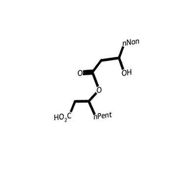 CCCCCCCCCC(O)CC(=O)OC(CCCCC)CC(=O)O